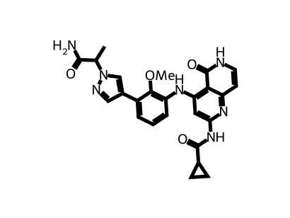 COc1c(Nc2cc(NC(=O)C3CC3)nc3cc[nH]c(=O)c23)cccc1-c1cnn(C(C)C(N)=O)c1